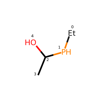 CCPC(C)O